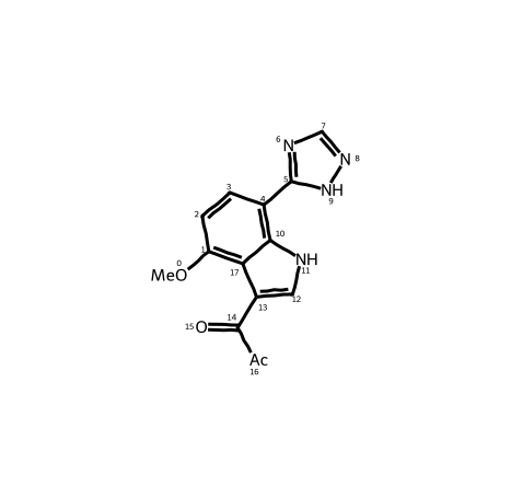 COc1ccc(-c2ncn[nH]2)c2[nH]cc(C(=O)C(C)=O)c12